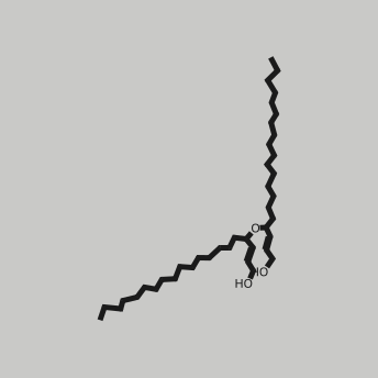 CCCCCCCCCCCCCCCCC(C=CCO)OC(C=CCO)CCCCCCCCCCCCCCCC